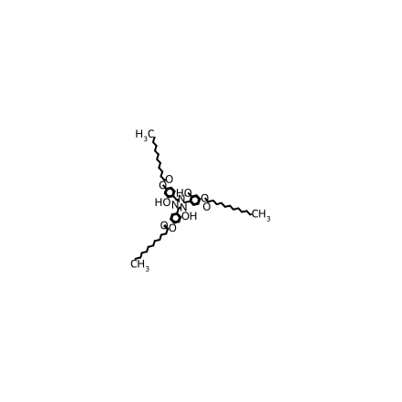 CCCCCCCCCCCC(=O)Oc1ccc(-c2nc(-c3ccc(OC(=O)CCCCCCCCCCC)cc3O)nc(-c3ccc(OC(=O)CCCCCCCCCCC)cc3O)n2)c(O)c1